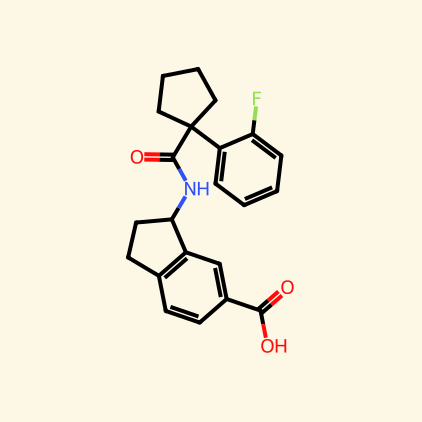 O=C(O)c1ccc2c(c1)C(NC(=O)C1(c3ccccc3F)CCCC1)CC2